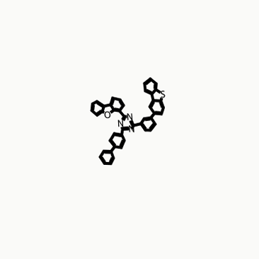 c1ccc(-c2ccc(-c3nc(-c4cccc(-c5ccc6sc7ccccc7c6c5)c4)nc(-c4cccc5c4oc4ccccc45)n3)cc2)cc1